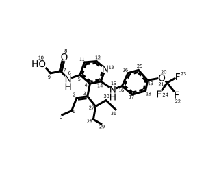 CC/C=C(/c1c(NC(=O)CO)ccnc1Nc1ccc(OC(F)(F)F)cc1)C(CC)CC